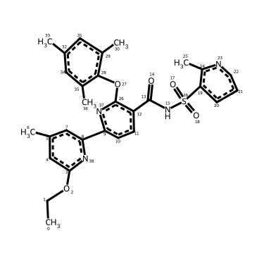 CCOc1cc(C)cc(-c2ccc(C(=O)NS(=O)(=O)c3cccnc3C)c(Oc3c(C)cc(C)cc3C)n2)n1